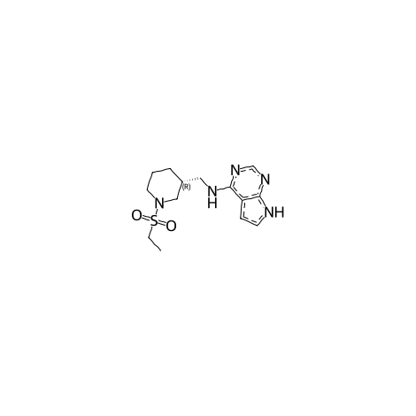 CCS(=O)(=O)N1CCC[C@H](CNc2ncnc3[nH]ccc23)C1